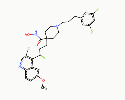 COc1ccc2ncc(Cl)c([C@H](F)CCC3(C(=O)NO)CCN(CCCc4cc(F)cc(F)c4)CC3)c2c1